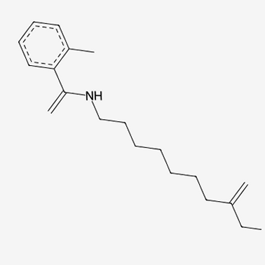 C=C(CC)CCCCCCCNC(=C)c1ccccc1C